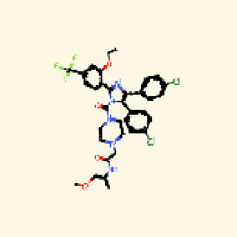 CCOc1cc(C(F)(F)F)ccc1C1=NC(c2ccc(Cl)cc2)C(c2ccc(Cl)cc2)N1C(=O)N1CCN(CC(=O)NC(C)COC)CC1